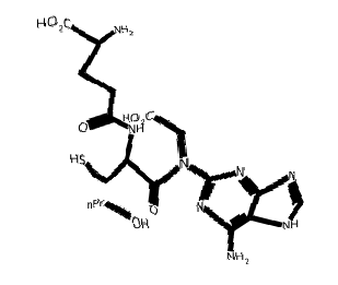 CCCO.Nc1nc(N(CC(=O)O)C(=O)C(CS)NC(=O)CCC(N)C(=O)O)nc2nc[nH]c12